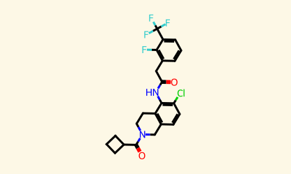 O=C(Cc1cccc(C(F)(F)F)c1F)Nc1c(Cl)ccc2c1CCN(C(=O)C1CCC1)C2